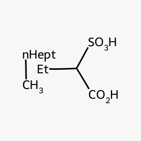 CCC(C(=O)O)S(=O)(=O)O.CCCCCCCC